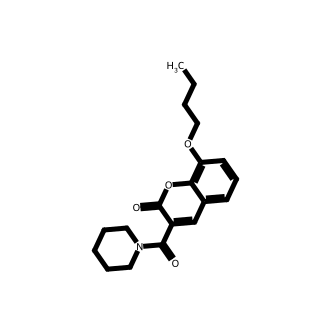 CCCCOc1cccc2cc(C(=O)N3CCCCC3)c(=O)oc12